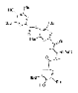 CCCCCC(NC(=O)c1cc(C(C)(C)C)c(O)c(C(C)(C)C)c1)NC(=O)c1cc(C(C)(C)C)c(OC(=O)c2cc(C(C)(C)C)c(O)c(C(C)(C)C)c2)c(C(C)(C)C)c1